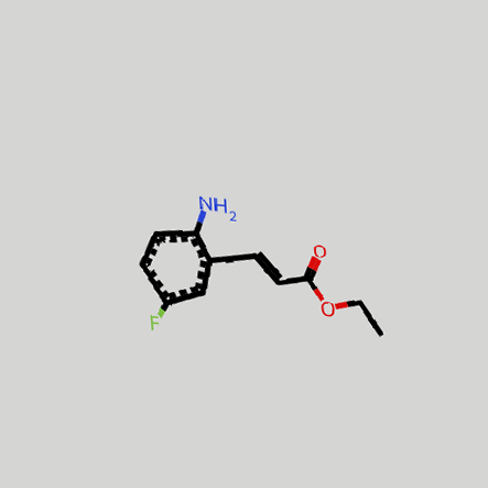 CCOC(=O)/C=C/c1cc(F)ccc1N